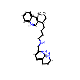 O=C(O)CC(CCCCNCC1=CC=C2CCCNC2N1)c1cnc2ccccc2c1